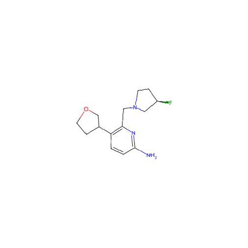 Nc1ccc(C2CCOC2)c(CN2CC[C@@H](F)C2)n1